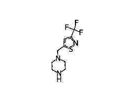 FC(F)(F)c1cc(CN2CCNCC2)sn1